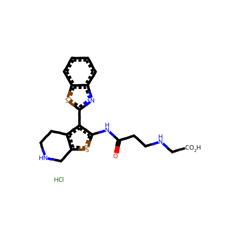 Cl.O=C(O)CNCCC(=O)Nc1sc2c(c1-c1nc3ccccc3s1)CCNC2